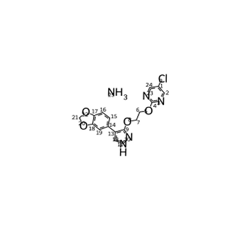 Clc1cnc(OCCOc2n[nH]cc2-c2ccc3c(c2)OCO3)nc1.N